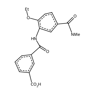 CCOc1ccc(C(=O)NC)cc1NC(=O)c1cccc(C(=O)O)c1